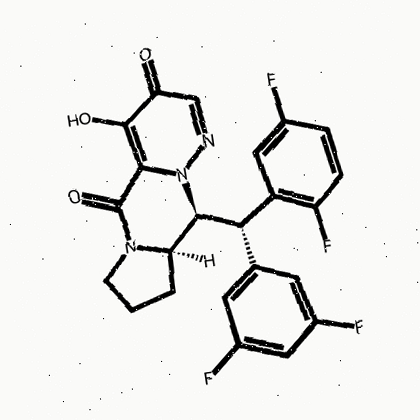 O=C1c2c(O)c(=O)cnn2[C@@H]([C@@H](c2cc(F)cc(F)c2)c2cc(F)ccc2F)[C@H]2CCCN12